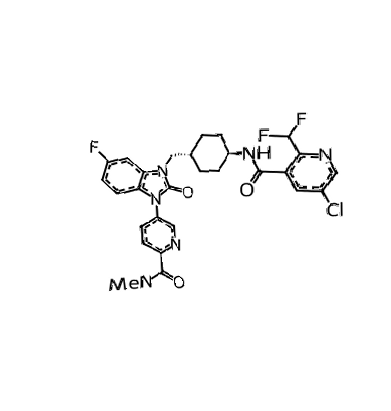 CNC(=O)c1ccc(-n2c(=O)n(C[C@H]3CC[C@H](NC(=O)c4cc(Cl)cnc4C(F)F)CC3)c3cc(F)ccc32)cn1